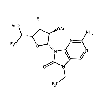 CC(=O)OC([C@H]1O[C@@H](n2c(=O)n(CC(F)(F)F)c3cnc(N)nc32)[C@H](OC(C)=O)[C@H]1F)C(F)(F)F